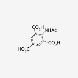 CC(=O)Nc1c(C(=O)O)cc(C(=O)O)cc1C(=O)O